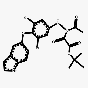 CC(=O)N(Nc1cc(Br)c(Oc2ccc3[nH]ccc3c2)c(Br)c1)C(=O)C(=O)OC(C)(C)C